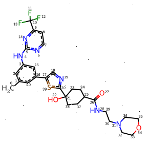 Cc1cc(Nc2nccc(C(F)(F)F)n2)cc(-c2cnc(C3(O)CCC(C(=O)NCCN4CCOCC4)CC3)s2)c1